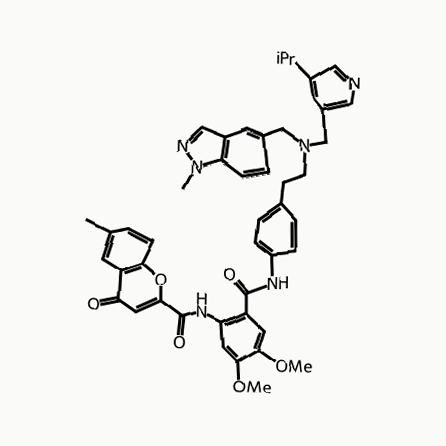 COc1cc(NC(=O)c2cc(=O)c3cc(C)ccc3o2)c(C(=O)Nc2ccc(CCN(Cc3cncc(C(C)C)c3)Cc3ccc4c(cnn4C)c3)cc2)cc1OC